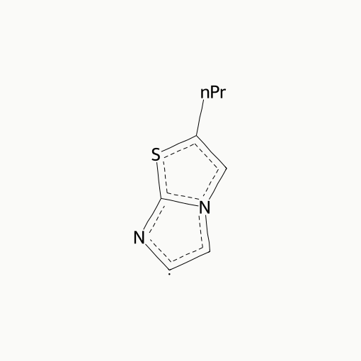 CCCc1cn2c[c]nc2s1